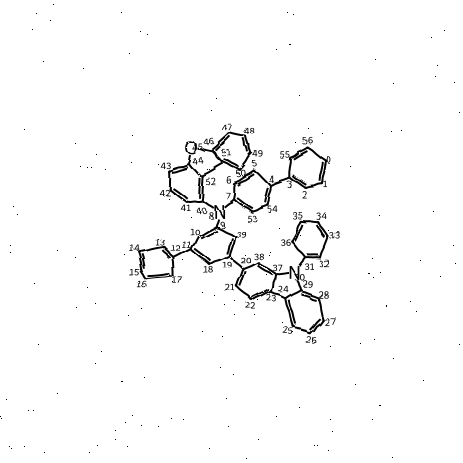 c1ccc(-c2ccc(N(c3cc(-c4ccccc4)cc(-c4ccc5c6ccccc6n(-c6ccccc6)c5c4)c3)c3cccc4oc5ccccc5c34)cc2)cc1